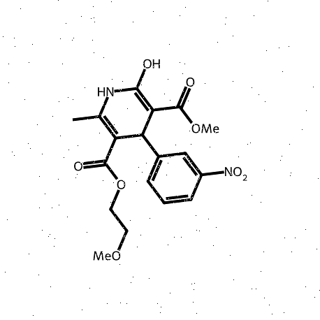 COCCOC(=O)C1=C(C)NC(O)=C(C(=O)OC)C1c1cccc([N+](=O)[O-])c1